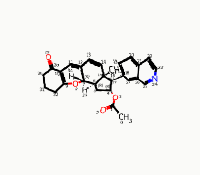 CC(=O)O[C@@H]1C[C@H]2[C@@H]3OC4=C(C=C3C=C[C@]2(C)[C@H]1c1ccc2ccncc2c1)C(=O)CCC4